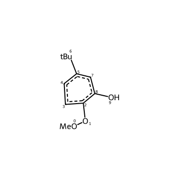 COOc1ccc(C(C)(C)C)cc1O